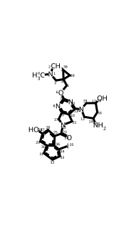 CN(C)CC1(COc2nc3c(c(N4CC(N)CC(O)C4)n2)CN(C(=O)c2cc(O)cc4cccc(I)c24)C3)CC1